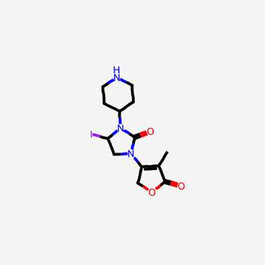 CC1=C(N2CC(I)N(C3CCNCC3)C2=O)COC1=O